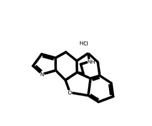 C1=NC2C(=C1)CC1C3Cc4cccc5c4C1(CCN3)C2O5.Cl